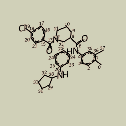 Cc1ccc(NC(=O)C2CCCN(C(=O)c3ccc(Cl)cc3)[C@H]2c2ccc(NC3CCCC3)cc2)cc1C